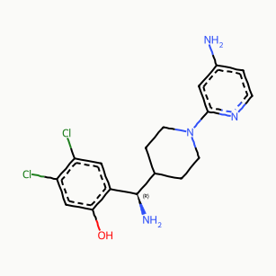 Nc1ccnc(N2CCC([C@@H](N)c3cc(Cl)c(Cl)cc3O)CC2)c1